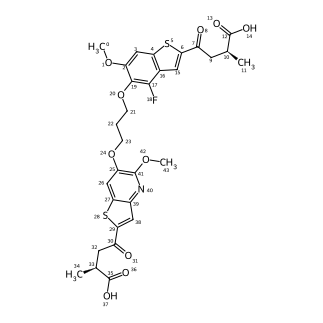 COc1cc2sc(C(=O)C[C@H](C)C(=O)O)cc2c(F)c1OCCCOc1cc2sc(C(=O)C[C@H](C)C(=O)O)cc2nc1OC